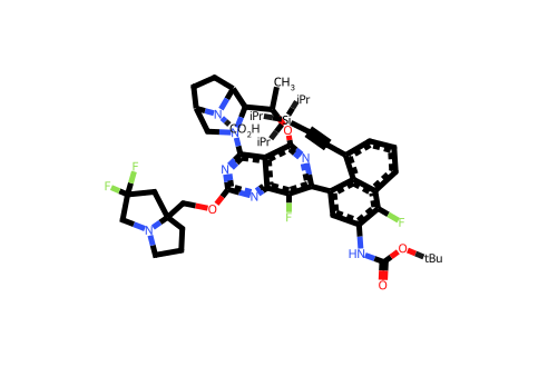 CC1Oc2nc(-c3cc(NC(=O)OC(C)(C)C)c(F)c4cccc(C#C[Si](C(C)C)(C(C)C)C(C)C)c34)c(F)c3nc(OCC45CCCN4CC(F)(F)C5)nc(c23)N2CC3CCC(C12)N3C(=O)O